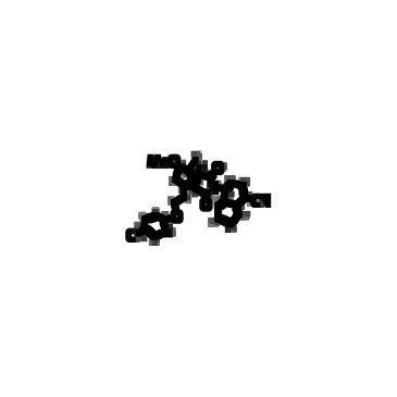 CO[C@H]1CC2(CCOc3ccc(Cl)cn3)O[C@@]1(C)[C@@H]1C(=O)N(c3ccc(C#N)c4ccccc34)C(=O)C12